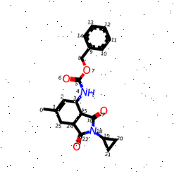 CC1=CC(NC(=O)OCc2ccccc2)C2C(=O)N(C3CC3)C(=O)C2C1